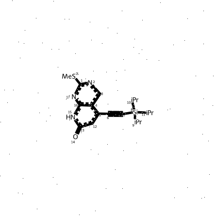 CSc1ncc2c(C#C[Si](C(C)C)(C(C)C)C(C)C)cc(=O)[nH]c2n1